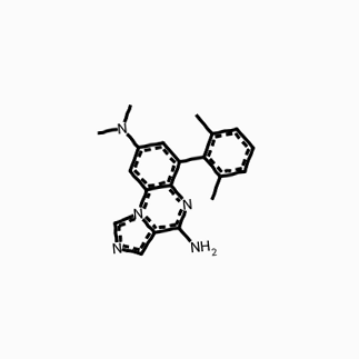 Cc1cccc(C)c1-c1cc(N(C)C)cc2c1nc(N)c1cncn12